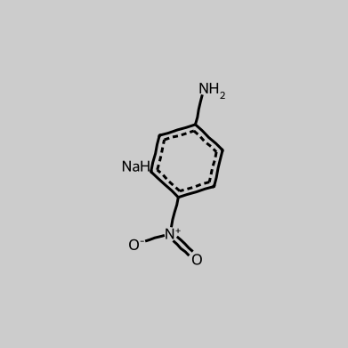 Nc1ccc([N+](=O)[O-])cc1.[NaH]